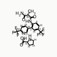 C[C@H](C(N)=O)C(=O)Nc1ccc(C(F)(F)F)cc1-c1ccc(C(F)(F)F)nc1.O=C(O)C1CCCN1